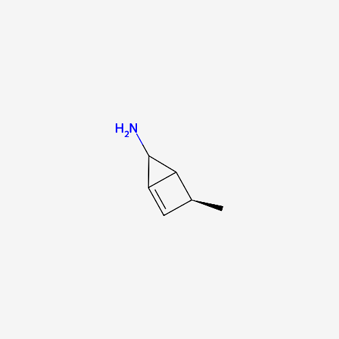 C[C@H]1C=C2C(N)C21